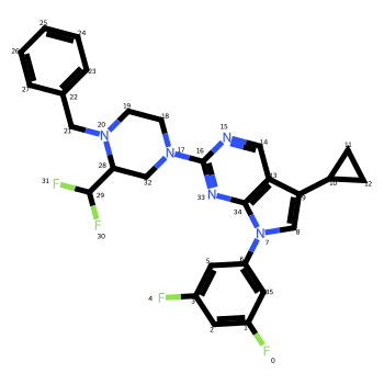 Fc1cc(F)cc(-n2cc(C3CC3)c3cnc(N4CCN(Cc5ccccc5)C(C(F)F)C4)nc32)c1